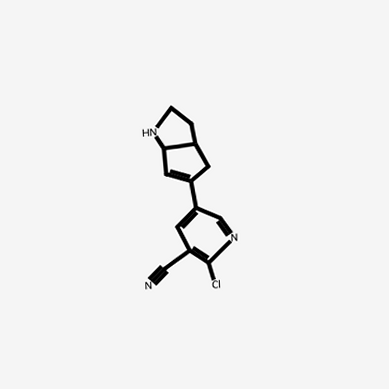 N#Cc1cc(C2=CC3NCCC3C2)cnc1Cl